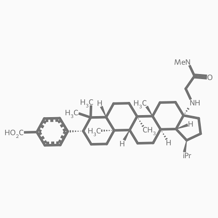 CNC(=O)CN[C@]12CC[C@@H](C(C)C)[C@@H]1[C@H]1CC[C@@H]3[C@@]4(C)CC[C@H](c5ccc(C(=O)O)cc5)C(C)(C)[C@@H]4CC[C@@]3(C)[C@]1(C)CC2